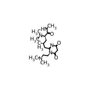 CNC(=O)[C@@H](C[C@H](C)CC1=NC(=O)CC(=O)N1CCN(C)C)N(C)C